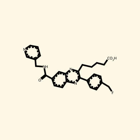 O=C(O)CCCCc1nc2cc(C(=O)NCc3cccnc3)ccc2nc1-c1ccc(CF)cc1